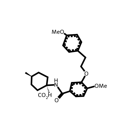 COc1ccc(CCOc2cc(C(=O)N[C@]3(C(=O)O)CC[C@H](C)CC3)ccc2OC)cc1